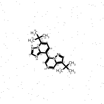 CC(C)(C)c1cnn2c(-c3ccc(C(C)(C)C)n4ncnc34)cncc12